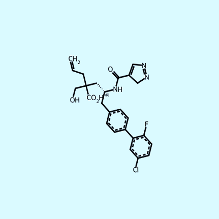 C=CCC(CO)(C[C@@H](Cc1ccc(-c2cc(Cl)ccc2F)cc1)NC(=O)C1=CN=NC1)C(=O)O